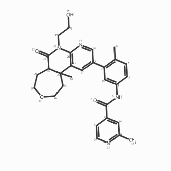 Cc1ccc(NC(=O)c2ccnc(C(F)(F)F)c2)cc1-c1cnc2c(c1)C1(C)CCOCCC1C(=O)N2CCO